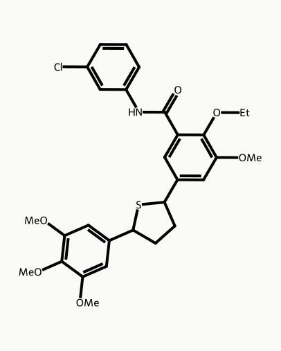 CCOc1c(OC)cc(C2CCC(c3cc(OC)c(OC)c(OC)c3)S2)cc1C(=O)Nc1cccc(Cl)c1